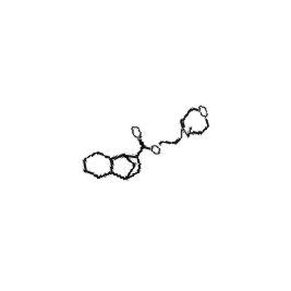 O=C(OCCN1CCOCC1)C1CC2CC1C1CCCCC21